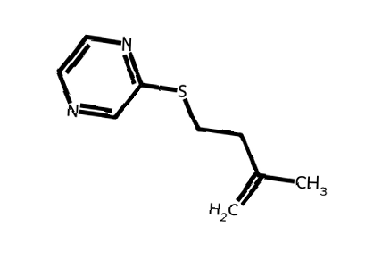 C=C(C)CCSc1cnccn1